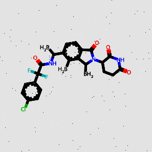 Bc1c(C(B)NC(=O)C(F)(F)c2ccc(Cl)cc2)ccc2c1C(B)N(C1CCC(=O)NC1=O)C2=O